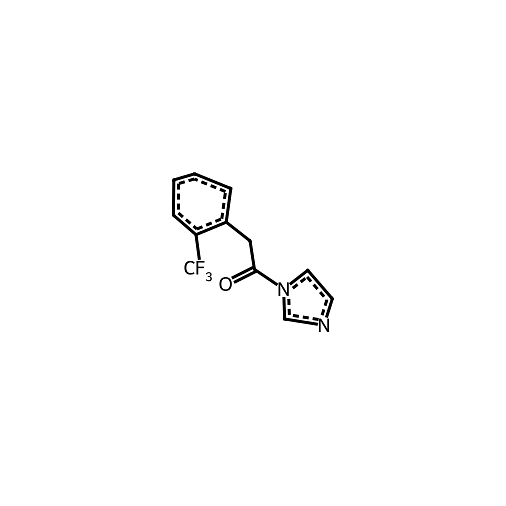 O=C(Cc1ccccc1C(F)(F)F)n1ccnc1